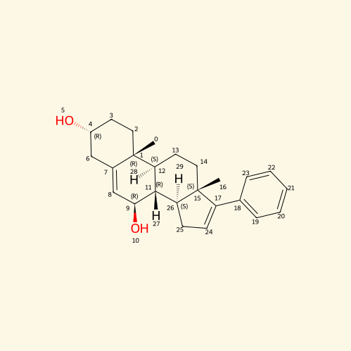 C[C@]12CC[C@@H](O)CC1=C[C@H](O)[C@@H]1[C@@H]2CC[C@]2(C)C(c3ccccc3)=CC[C@@H]12